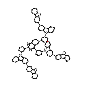 c1cc(-c2ccc3nc(-c4cccc(-n5c6ccccc6c6cc(-c7ccc8c(c7)oc7ccccc78)ccc65)c4)nc(-c4cccc(-n5c6ccccc6c6cc(-c7ccc8c(c7)oc7ccccc78)ccc65)c4)c3c2)cc(-n2c3ccccc3c3cc(-c4ccc5c(c4)oc4ccccc45)ccc32)c1